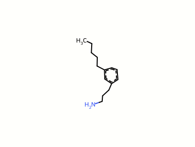 CCCCCc1cccc(CCCN)c1